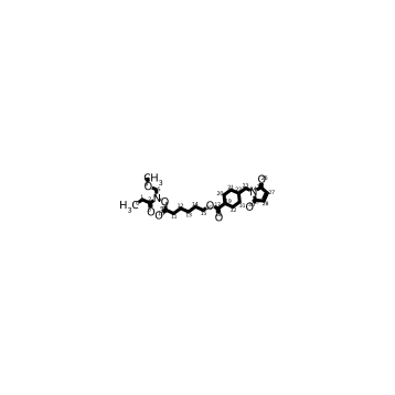 CCC(=O)N(COC)OC(=O)CCCCCOC(=O)C1CCC(CN2C(=O)C=CC2=O)CC1